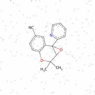 CC1(C)Oc2ccc(C#N)cc2C2(c3ccccn3)OC12